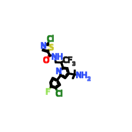 CC(C)(N)c1cc(-c2ccc(F)c(Cl)c2)nc(C(CNC(=O)c2cnc(Cl)s2)C(F)(F)F)c1